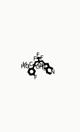 CC(C)(CC(O)(Cc1cc2cnccc2s1)C(F)(F)F)c1cc(F)ccc1O